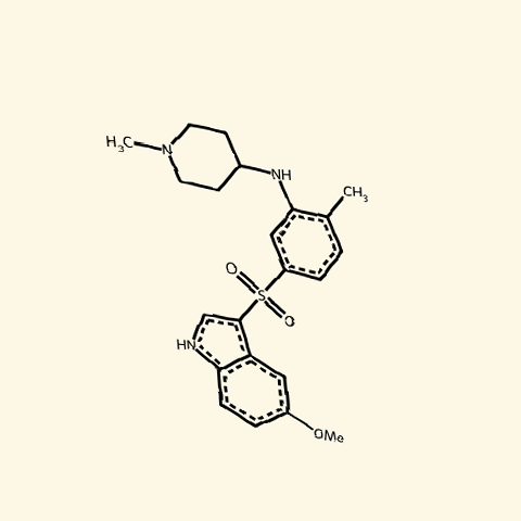 COc1ccc2[nH]cc(S(=O)(=O)c3ccc(C)c(NC4CCN(C)CC4)c3)c2c1